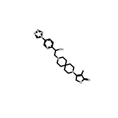 CC1=C(N2CCC3(CCN(CC(O)c4ccc(-n5cnnn5)cn4)CC3)CC2)COC1=O